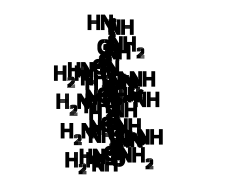 CC(=N)NCCC[C@@H](N)C(=O)Nc1ccc(OCCNC(=N)N)c(C(=O)N[C@H](CCCNC(C)=N)C(=O)Nc2ccc(OCCNC(=N)N)c(C(=O)N[C@H](CCCNC(C)=N)C(=O)Nc3ccc(OCCNC(=N)N)c(C(=O)N[C@H](CCCNC(C)=N)C(=O)Nc4ccc(OCCNC(=N)N)c(C(N)=O)c4)c3)c2)c1